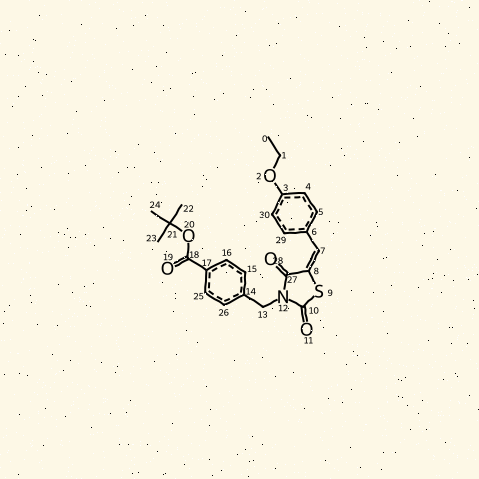 CCOc1ccc(C=C2SC(=O)N(Cc3ccc(C(=O)OC(C)(C)C)cc3)C2=O)cc1